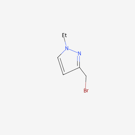 CCn1ccc(CBr)n1